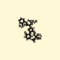 Cc1ccccc1[C@H](CC(=O)O)NC(=O)c1cc(OC[C@](C)(O)C2CC2)n(-c2ccccc2F)n1